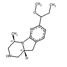 CCC(OC)c1ccc2c(n1)N1[C@@H](CNC[C@H]1C)C2